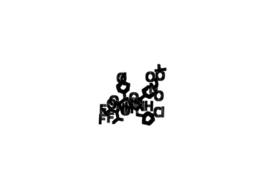 COc1ccc([C@H](NC(=O)[C@H](Cc2cccc(Cl)c2)NC(=O)c2ccn(CC(=O)OC(C)(C)C)c(=O)c2)C(=O)N[C@H](C(=O)C(F)(F)F)C(C)C)cc1